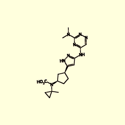 CN(C)c1nncc(Nc2cc([C@H]3CC[C@@H](N(C(=O)O)C4(C)CC4)C3)[nH]n2)n1